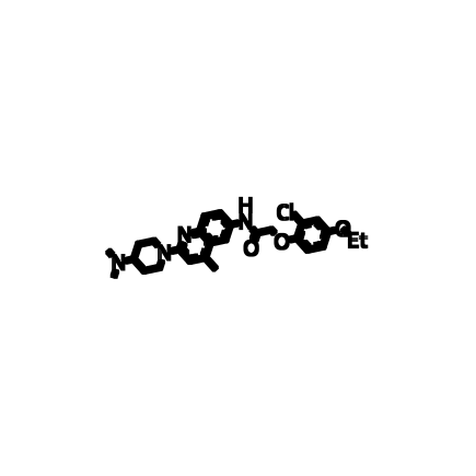 CCOc1ccc(OCC(=O)Nc2ccc3nc(N4CCC(N(C)C)CC4)cc(C)c3c2)c(Cl)c1